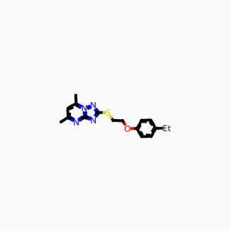 CCc1ccc(OCCSc2nc3nc(C)cc(C)n3n2)cc1